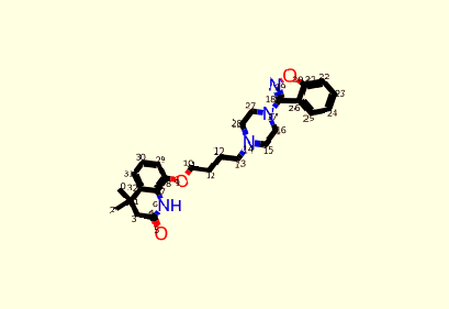 CC1(C)CC(=O)Nc2c(OCCCCN3CCN(c4noc5ccccc45)CC3)cccc21